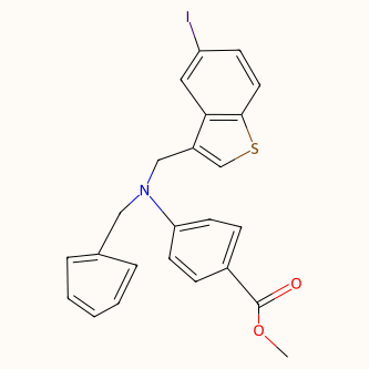 COC(=O)c1ccc(N(Cc2ccccc2)Cc2csc3ccc(I)cc23)cc1